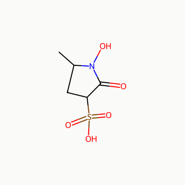 CC1CC(S(=O)(=O)O)C(=O)N1O